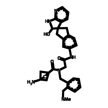 CNCc1ccccc1CN(CC(=O)Nc1ccc2c(c1)CC1(C2)c2cccnc2NC1O)C(=O)C12CC(N)(C1)C2